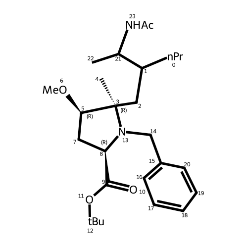 CCCC(C[C@]1(C)[C@H](OC)C[C@H](C(=O)OC(C)(C)C)N1Cc1ccccc1)C(C)NC(C)=O